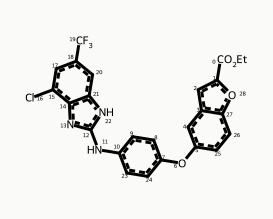 CCOC(=O)c1cc2cc(Oc3ccc(Nc4nc5c(Cl)cc(C(F)(F)F)cc5[nH]4)cc3)ccc2o1